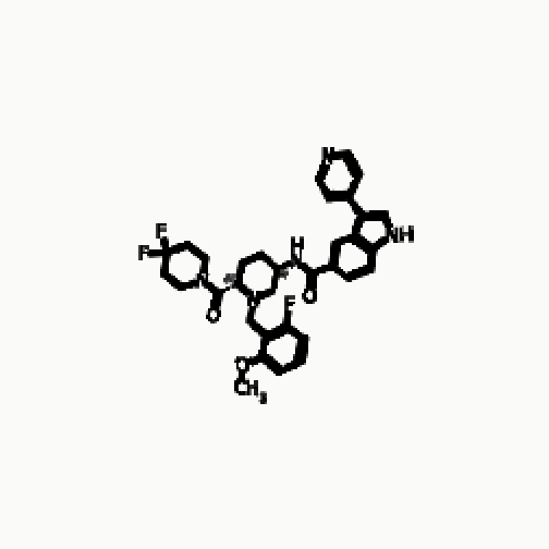 COc1cccc(F)c1CN1C[C@H](NC(=O)c2ccc3[nH]cc(-c4ccncc4)c3c2)CC[C@H]1C(=O)N1CCC(F)(F)CC1